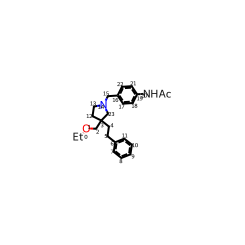 CCOCC1(CCc2ccccc2)CCN(Cc2ccc(NC(C)=O)cc2)C1